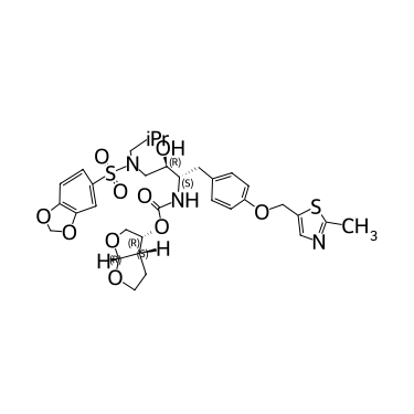 Cc1ncc(COc2ccc(C[C@H](NC(=O)O[C@H]3CO[C@H]4OCC[C@H]43)[C@H](O)CN(CC(C)C)S(=O)(=O)c3ccc4c(c3)OCO4)cc2)s1